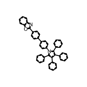 c1ccc(-c2c(-c3ccccc3)c(-c3ccccc3)n(-c3ccc(-c4ccc(-c5nc6ccccc6o5)cc4)cc3)c2-c2ccccc2)cc1